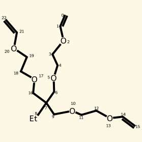 C=COCCOCC(CC)(COCCOC=C)COCCOC=C